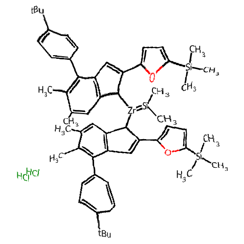 Cc1cc2c(c(-c3ccc(C(C)(C)C)cc3)c1C)C=C(c1ccc([Si](C)(C)C)o1)[CH]2[Zr]([CH]1C(c2ccc([Si](C)(C)C)o2)=Cc2c1cc(C)c(C)c2-c1ccc(C(C)(C)C)cc1)=[Si](C)C.Cl.Cl